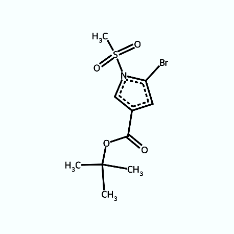 CC(C)(C)OC(=O)c1cc(Br)n(S(C)(=O)=O)c1